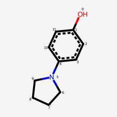 Oc1ccc(N2C[CH]CC2)cc1